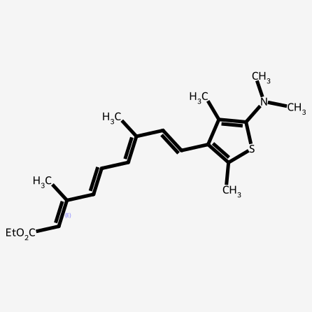 CCOC(=O)/C=C(\C)C=CC=C(C)C=Cc1c(C)sc(N(C)C)c1C